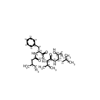 CC(C)CC(=O)N[C@@H](Cc1ccccc1)C(=O)N[C@H](C(=O)N[C@@H](CC(C)C)[C@H](C)O)C(C)C